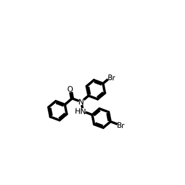 O=C(c1ccccc1)N(Nc1ccc(Br)cc1)c1ccc(Br)cc1